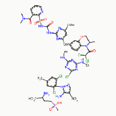 CC1COc2ccccc2N1C(=O)C(Cl)Cl.CCNc1nc(Cl)nc(NC(C)C)n1.COc1cc(OC)nc(NC(=O)NS(=O)(=O)c2ncccc2C(=O)N(C)C)n1.CP(=O)(O)CCC(N)C(=O)O.Nc1c([N+](=O)[O-])cnn1-c1c(Cl)cc(C(F)(F)F)cc1Cl